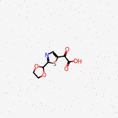 O=C(O)C(=O)c1cnc(C2OCCO2)s1